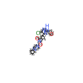 O=C(CN1Cc2ccc(-c3nc(NC4CCOCC4)ncc3Cl)cc2C1=O)N1CCN(c2ccccc2)CC1